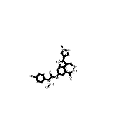 Cn1cc(-c2[nH]c3cc(NC(=O)[C@H](NCl)c4ccc(F)cc4)cc4c3c2C=NNC4=O)cn1